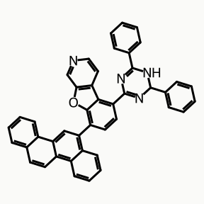 c1ccc(C2=NC(c3ccc(-c4cc5c6ccccc6ccc5c5ccccc45)c4oc5cnccc5c34)=NC(c3ccccc3)N2)cc1